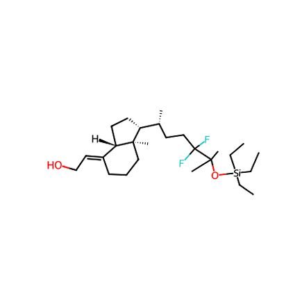 CC[Si](CC)(CC)OC(C)(C)C(F)(F)CC[C@@H](C)[C@H]1CC[C@H]2/C(=C/CO)CCC[C@]12C